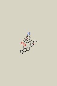 CCC(C)CC(c1ccccc1)(c1ccccc1)C(C)(C)CC(C)(C(=O)OCc1c2ccccc2cc2ccccc12)C(C)(C)CCC#N